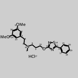 COc1cc(CCN(C)CCCOc2nsc(-c3ccccc3)n2)cc(OC)c1.Cl